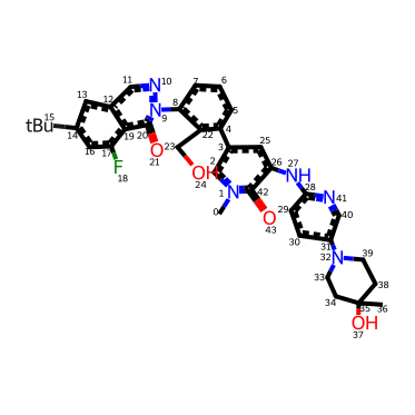 Cn1cc(-c2cccc(-n3ncc4cc(C(C)(C)C)cc(F)c4c3=O)c2CO)cc(Nc2ccc(N3CCC(C)(O)CC3)cn2)c1=O